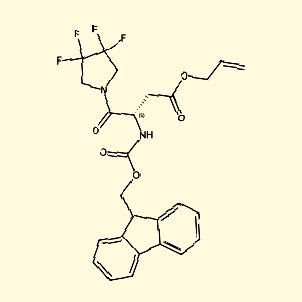 C=CCOC(=O)C[C@H](NC(=O)OCC1c2ccccc2-c2ccccc21)C(=O)N1CC(F)(F)C(F)(F)C1